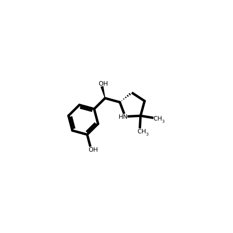 CC1(C)CC[C@@H]([C@H](O)c2cccc(O)c2)N1